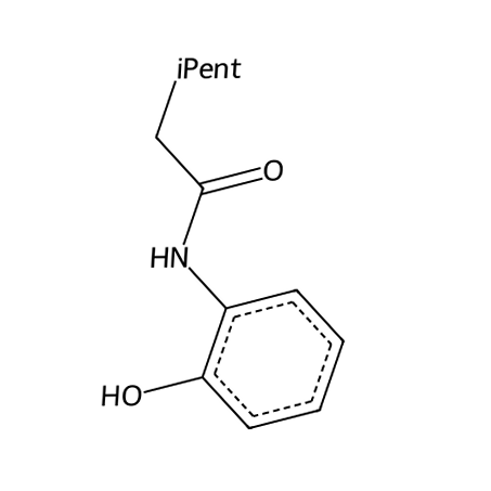 CCCC(C)CC(=O)Nc1ccccc1O